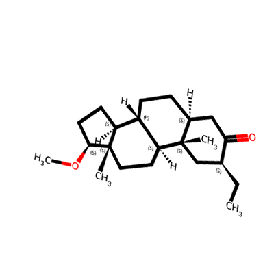 CC[C@H]1C[C@@]2(C)[C@@H](CC[C@@H]3[C@@H]2CC[C@]2(C)[C@@H](OC)CC[C@@H]32)CC1=O